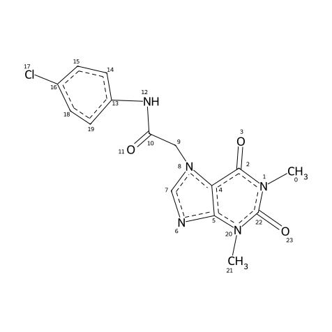 Cn1c(=O)c2c(ncn2CC(=O)Nc2ccc(Cl)cc2)n(C)c1=O